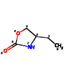 CCC1COC(=O)N1